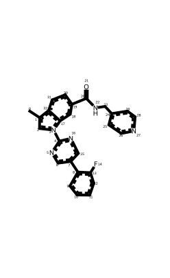 Cc1cn(-c2ncc(-c3ccccc3F)cn2)c2cc(C(=O)NCc3ccncc3)ccc12